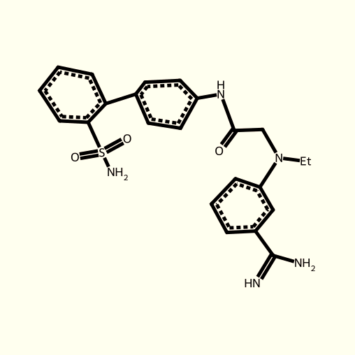 CCN(CC(=O)Nc1ccc(-c2ccccc2S(N)(=O)=O)cc1)c1cccc(C(=N)N)c1